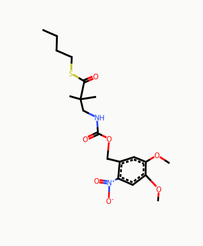 CCCCSC(=O)C(C)(C)CNC(=O)OCc1cc(OC)c(OC)cc1[N+](=O)[O-]